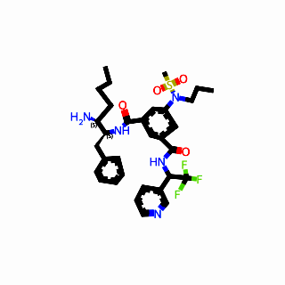 CCCC[C@H](N)[C@H](Cc1ccccc1)NC(=O)c1cc(C(=O)NC(c2cccnc2)C(F)(F)F)cc(N(CCC)S(C)(=O)=O)c1